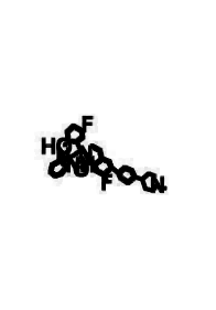 CN1CCC(c2ccc(-c3cc4ccn(C(c5nc6ccccc6[nH]5)c5cc(F)ccc5O)c(=O)c4cc3F)cc2)CC1